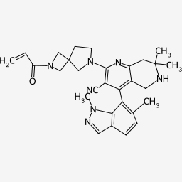 C=CC(=O)N1CC2(CCN(c3nc4c(c(-c5c(C)ccc6cnn(C)c56)c3C#N)CNC(C)(C)C4)C2)C1